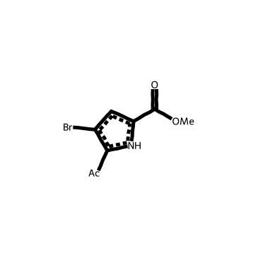 COC(=O)c1cc(Br)c(C(C)=O)[nH]1